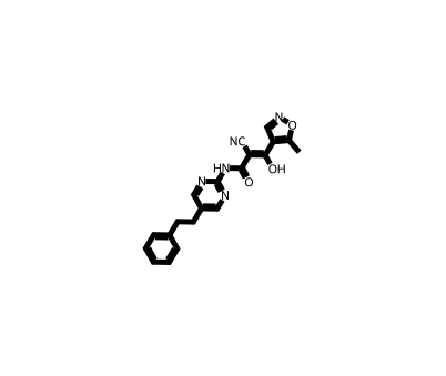 Cc1oncc1/C(O)=C(\C#N)C(=O)Nc1ncc(CCc2ccccc2)cn1